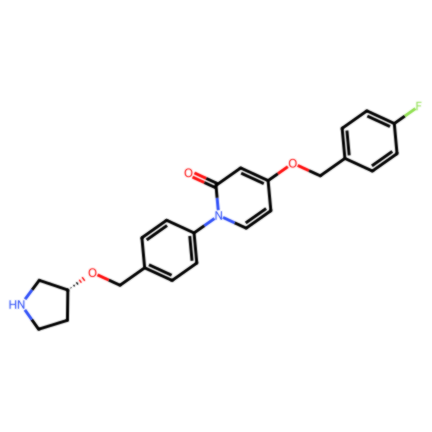 O=c1cc(OCc2ccc(F)cc2)ccn1-c1ccc(CO[C@@H]2CCNC2)cc1